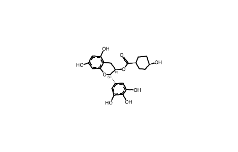 O=C(O[C@@H]1Cc2c(O)cc(O)cc2O[C@H]1c1cc(O)c(O)c(O)c1)[C@H]1CC[C@@H](O)CC1